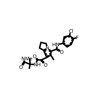 CNC(=O)C(C)(C)NC(=O)C(=O)c1c(C)c(C(=O)Nc2ccc(F)c(Cl)c2)n2c1CCC2